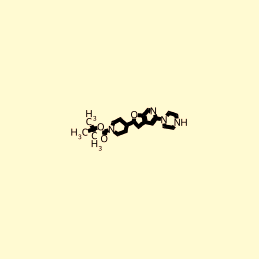 CC(C)(C)OC(=O)N1CCC(C2Cc3cc(N4CCNCC4)ncc3O2)CC1